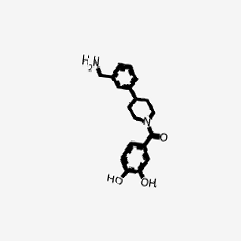 NCc1cccc(C2CCN(C(=O)c3ccc(O)c(O)c3)CC2)c1